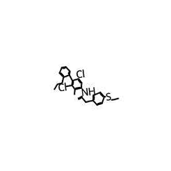 C=C(Cc1ccc(SCC)cc1)Nc1cc(Cl)c(-c2ccccc2CCC)c(Cl)c1C